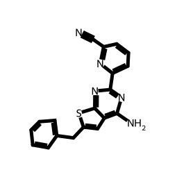 N#Cc1cccc(-c2nc(N)c3cc(Cc4ccccc4)sc3n2)n1